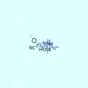 C=C/N=C(/C(=O)O)N(C)N/C(CC)=C(\NC)N(C)c1nc(-c2ccc(F)cc2)c(C#N)s1